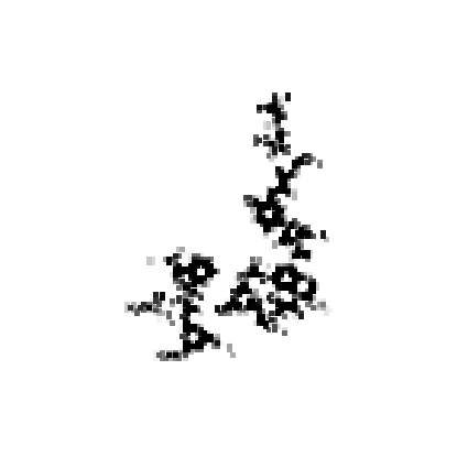 CC1COc2ccccc2N1C(=O)C(Cl)Cl.CCNc1nc(Cl)nc(NC(C)C)n1.CCOC(=O)C(Cl)Cc1cc(-n2nc(C)n(C(F)F)c2=O)c(F)cc1Cl.COc1cc(OC)nc(NC(=O)NS(=O)(=O)c2ncccc2C(=O)N(C)C)n1.C[S+](C)C.O=C(O)CNCP(=O)([O-])O